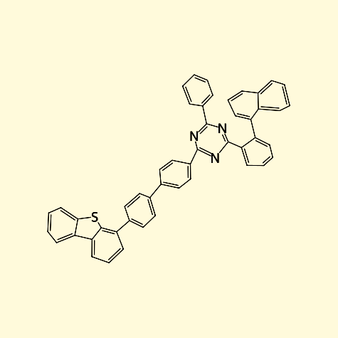 c1ccc(-c2nc(-c3ccc(-c4ccc(-c5cccc6c5sc5ccccc56)cc4)cc3)nc(-c3ccccc3-c3cccc4ccccc34)n2)cc1